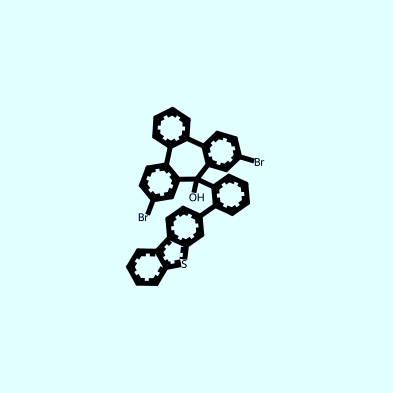 OC1(c2ccccc2-c2ccc3c(c2)sc2ccccc23)c2cc(Br)ccc2-c2ccccc2-c2ccc(Br)cc21